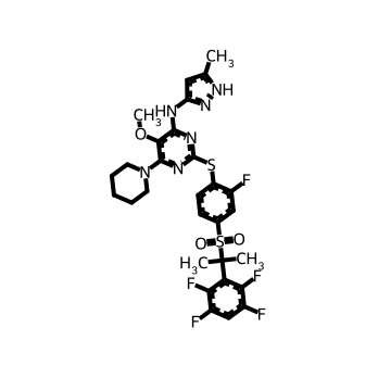 COc1c(Nc2cc(C)[nH]n2)nc(Sc2ccc(S(=O)(=O)C(C)(C)c3c(F)c(F)cc(F)c3F)cc2F)nc1N1CCCCC1